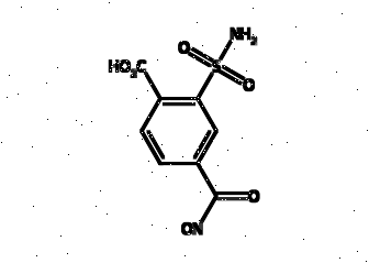 NS(=O)(=O)c1cc(C(=O)N=O)ccc1C(=O)O